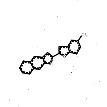 Cc1ccc2oc(-c3cc4cc5ccccc5cc4o3)cc2c1